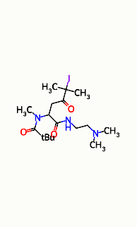 CN(C)CCNC(=O)C(CC(=O)C(C)(C)I)N(C)C(=O)C(C)(C)C